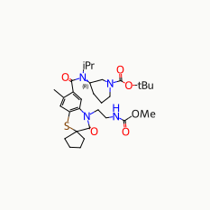 COC(=O)NCCN1C(=O)C2(CCCC2)Sc2cc(C)c(C(=O)N(C(C)C)[C@@H]3CCCN(C(=O)OC(C)(C)C)C3)cc21